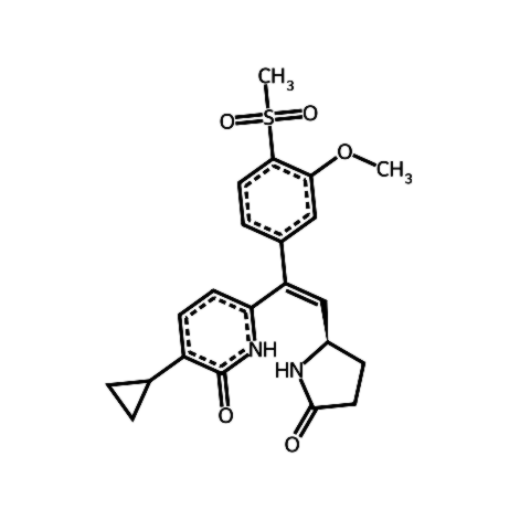 COc1cc(/C(=C/[C@H]2CCC(=O)N2)c2ccc(C3CC3)c(=O)[nH]2)ccc1S(C)(=O)=O